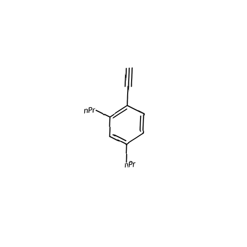 C#Cc1ccc(CCC)cc1CCC